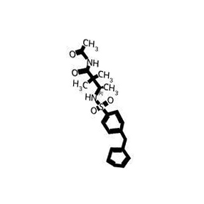 CC(=O)NC(=O)C(C)(C)[C@@H](C)NS(=O)(=O)c1ccc(Cc2ccccc2)cc1